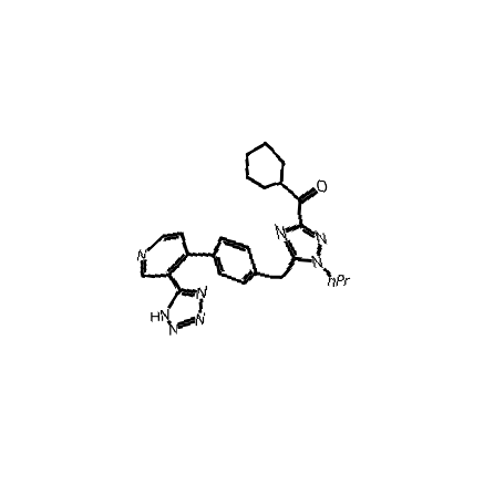 CCCn1nc(C(=O)C2CCCCC2)nc1Cc1ccc(-c2ccncc2-c2nnn[nH]2)cc1